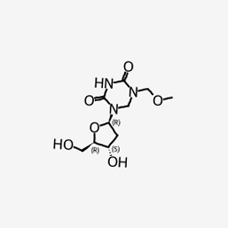 COCN1CN([C@H]2C[C@H](O)[C@@H](CO)O2)C(=O)NC1=O